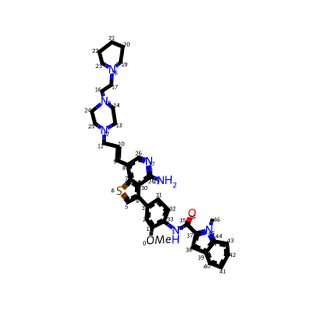 COc1cc(-c2csc3c(C=CCN4CCN(CCN5CCCCC5)CC4)cnc(N)c23)ccc1NC(=O)c1cc2ccccc2n1C